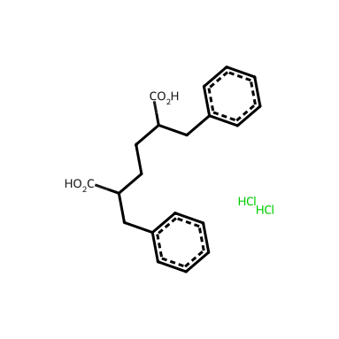 Cl.Cl.O=C(O)C(CCC(Cc1ccccc1)C(=O)O)Cc1ccccc1